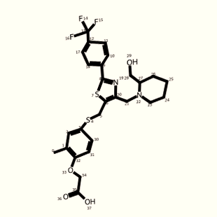 Cc1cc(SCc2sc(-c3ccc(C(F)(F)F)cc3)nc2CN2CCCCC2CO)ccc1OCC(=O)O